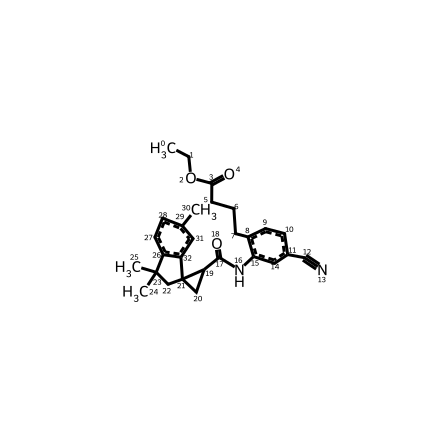 CCOC(=O)CCCc1ccc(C#N)cc1NC(=O)C1CC12CC(C)(C)c1ccc(C)cc12